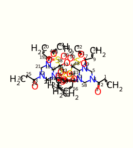 C=CC(=O)N1CN(C(=O)C=C)C(C(OC(C2N(C(=O)C=C)CN(C(=O)C=C)CN2C(=O)C=C)(S(=O)(=O)C=C)S(=O)(=O)C=C)(S(=O)(=O)C=C)S(=O)(=O)C=C)N(C(=O)C=C)C1